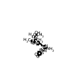 CC(C)C[C@@H](C(=O)N1CCC(CCn2cnc(N)c3nc(Sc4cc5c(cc4Br)OCO5)nc2-3)CC1)N(C)C(=O)OC(C)(C)C